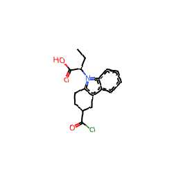 CCC(C(=O)O)n1c2c(c3ccccc31)CC(C(=O)Cl)CC2